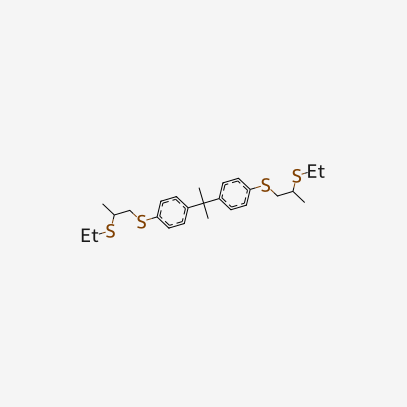 CCSC(C)CSc1ccc(C(C)(C)c2ccc(SCC(C)SCC)cc2)cc1